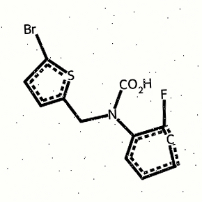 O=C(O)N(Cc1ccc(Br)s1)c1ccccc1F